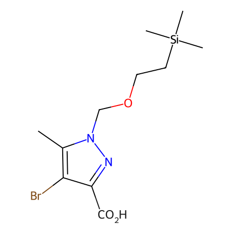 Cc1c(Br)c(C(=O)O)nn1COCC[Si](C)(C)C